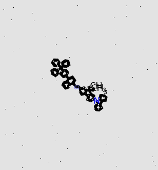 CCC1(CC)c2cc(/C=C/c3ccc(-c4ccc(C(c5ccccc5)(c5ccccc5)c5ccccc5)cc4)c4ccccc34)ccc2-c2ccc(-n3c4ccccc4c4ccccc43)cc21